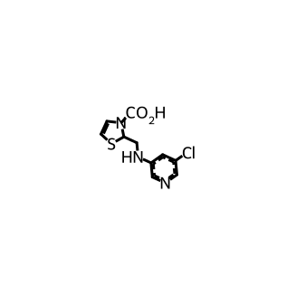 O=C(O)N1C=CSC1CNc1cncc(Cl)c1